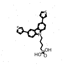 O=P(O)(O)CCCCn1c2ccc(-c3ccsc3)cc2c2cc(-c3ccsc3)ccc21